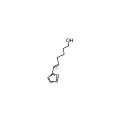 OCCCC/C=C/c1ccco1